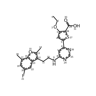 CCOc1cc(-c2cc(NCCc3c(C)oc4c(C)cc(F)cc34)ncn2)sc1C(=O)O